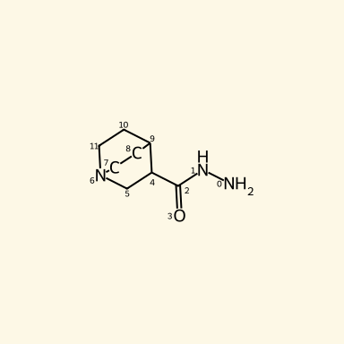 NNC(=O)C1CN2CCC1CC2